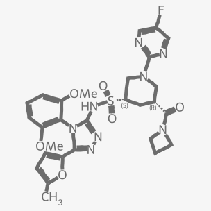 COc1cccc(OC)c1-n1c(NS(=O)(=O)[C@H]2C[C@@H](C(=O)N3CCC3)CN(c3ncc(F)cn3)C2)nnc1-c1ccc(C)o1